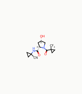 N#CC1(NC(=O)[C@@H]2C[C@H](O)CN2C(=O)C2(C(F)(F)F)CC2)CC1